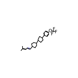 CC(C)=C/C=C/C1CCC(C2CCC(c3ccc(OC(F)(F)F)cc3)CC2)CC1